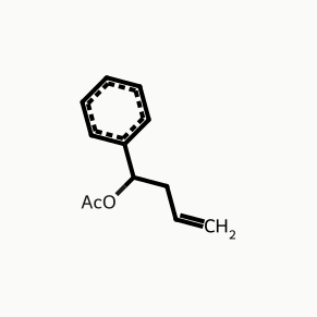 C=CCC(OC(C)=O)c1ccccc1